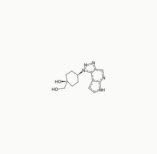 OC[C@]1(O)CC[C@@H](n2nnc3cnc4[nH]ccc4c32)CC1